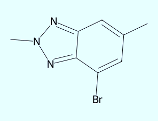 Cc1cc(Br)c2nn(C)nc2c1